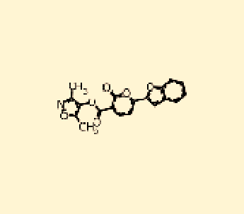 Cc1noc(C)c1OC(=O)c1ccc(-c2cc3ccccc3o2)oc1=O